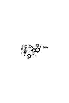 COc1ccc2c(c1Cl)c(CC(=O)O)c(C)n2C(=O)c1csc(OC(F)(F)C(F)F)c1